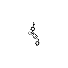 N#Cc1ccc(C(=O)N2CC3CC(CN(Cc4ccccc4)C3)C2)cc1